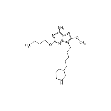 CCCCOc1nc(N)c2nc(OC)n(CCCCCC3CCCNC3)c2n1